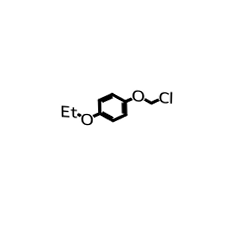 CCOc1ccc(OCCl)cc1